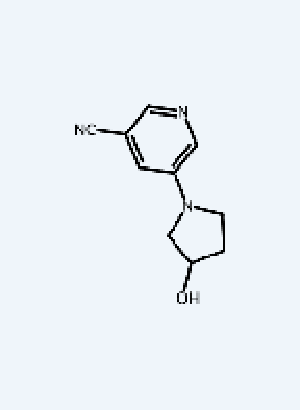 N#Cc1cncc(N2CCC(O)C2)c1